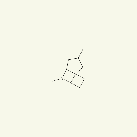 CC1CC2N(C)C3CCC32C1